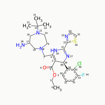 CCOC(=O)C1=C(CN2CCN(C(C)(C)C)CC(N)C2)NC(c2nccs2)=N[C@H]1c1cccc(F)c1Cl